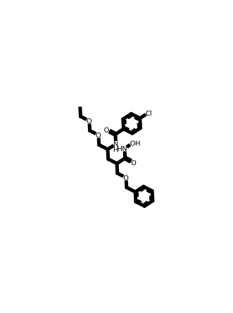 CCOCOCC(CC(COCc1ccccc1)C(=O)NO)NC(=O)c1ccc(Cl)cc1